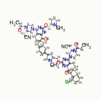 C=CC(=O)N1CCN(c2nc(OC[C@@H]3CCCN3C)nc3c2CCC2(Cc4ccc(C5C[C@@H](COc6nc7c(c(N8CCN(C(=O)C=C)[C@@H](CC#N)C8)n6)CCC6(Cc8cccc(Br)c8C6)C7=O)N(C)C5)cc4C2)C3=O)C[C@@H]1CC#N